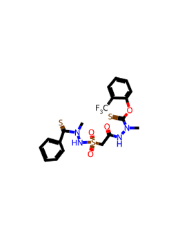 CN(NC(=O)CS(=O)(=O)NN(C)C(=S)c1ccccc1)C(=S)Oc1ccccc1C(F)(F)F